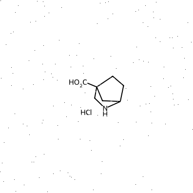 Cl.O=C(O)C12CCC(C1)NC2